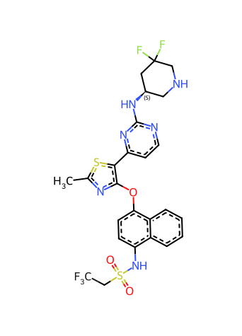 Cc1nc(Oc2ccc(NS(=O)(=O)CC(F)(F)F)c3ccccc23)c(-c2ccnc(N[C@@H]3CNCC(F)(F)C3)n2)s1